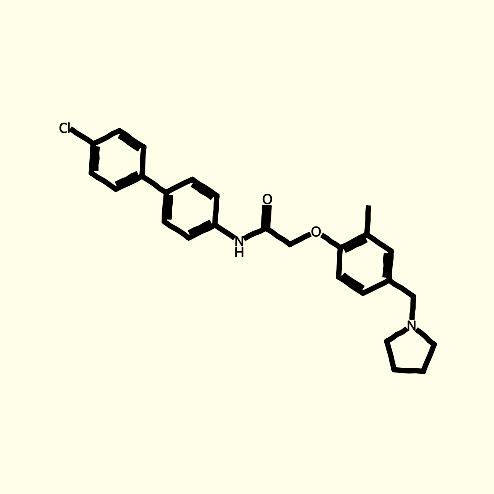 Cc1cc(CN2CCCC2)ccc1OCC(=O)Nc1ccc(-c2ccc(Cl)cc2)cc1